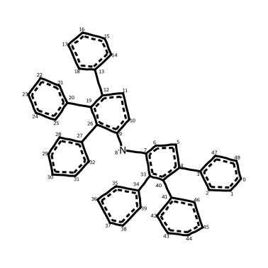 c1ccc(-c2ccc([N]c3ccc(-c4ccccc4)c(-c4ccccc4)c3-c3ccccc3)c(-c3ccccc3)c2-c2ccccc2)cc1